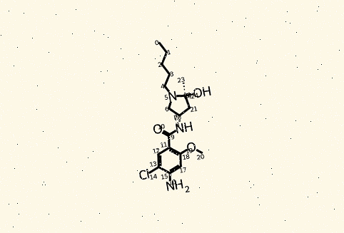 CCCCCN1C[C@@H](NC(=O)c2cc(Cl)c(N)cc2OC)C[C@]1(C)O